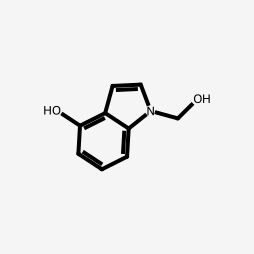 OCn1ccc2c(O)cccc21